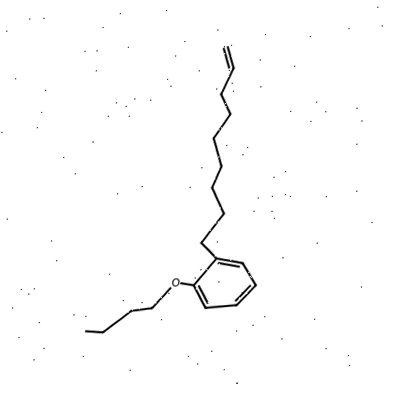 C=CCCCCCCCc1ccccc1OCCCC